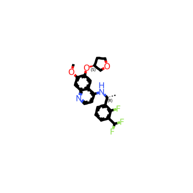 COc1cc2nccc(N[C@H](C)c3cccc(C(F)F)c3F)c2cc1O[C@H]1CCOC1